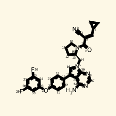 N#CC(=CC1CC1)C(=O)N1CCC[C@@H]1Cn1cc(-c2ccc(Oc3cc(F)cc(F)c3)cc2)c2c(N)ncnc21